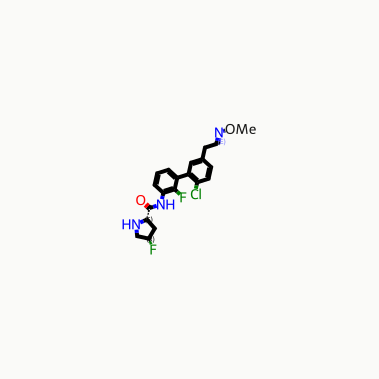 CO/N=C/Cc1ccc(Cl)c(-c2cccc(NC(=O)[C@@H]3C[C@@H](F)CN3)c2F)c1